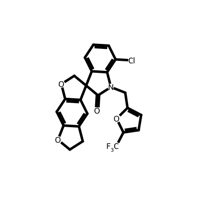 O=C1N(Cc2ccc(C(F)(F)F)o2)c2c(Cl)cccc2C12COc1cc3c(cc12)CCO3